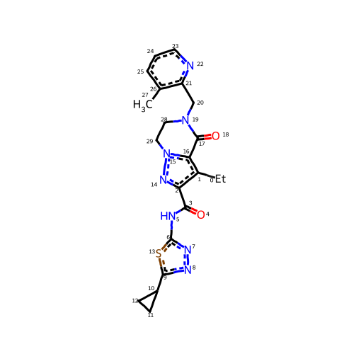 CCc1c(C(=O)Nc2nnc(C3CC3)s2)nn2c1C(=O)N(Cc1ncccc1C)CC2